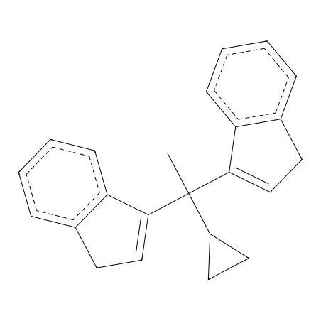 CC(C1=CCc2ccccc21)(C1=CCc2ccccc21)C1CC1